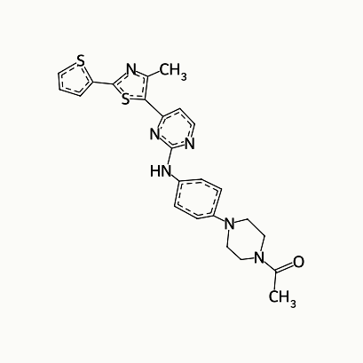 CC(=O)N1CCN(c2ccc(Nc3nccc(-c4sc(-c5cccs5)nc4C)n3)cc2)CC1